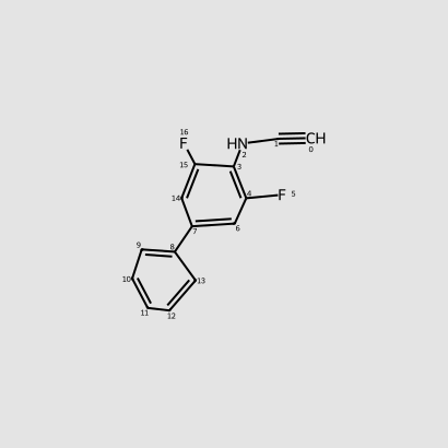 C#CNc1c(F)cc(-c2ccccc2)cc1F